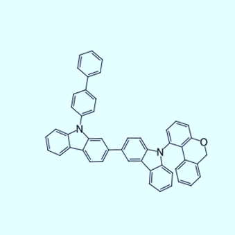 c1ccc(-c2ccc(-n3c4ccccc4c4ccc(-c5ccc6c(c5)c5ccccc5n6-c5cccc6c5-c5ccccc5CO6)cc43)cc2)cc1